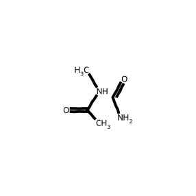 CNC(C)=O.NC=O